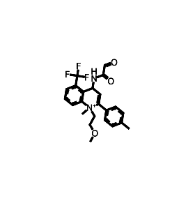 COCC[N+]1(C)C(c2ccc(C)cc2)=CC(NC(=O)C=O)c2c(C(F)(F)F)cccc21